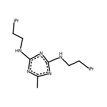 Cc1nc(NCCC(C)C)nc(NCCC(C)C)n1